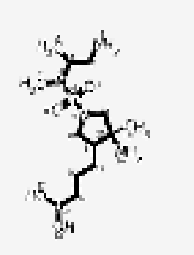 CC(CN)N(C)S(=O)(=O)N1C[C@H](CCCB(O)O)[C@@](C)(N)C1